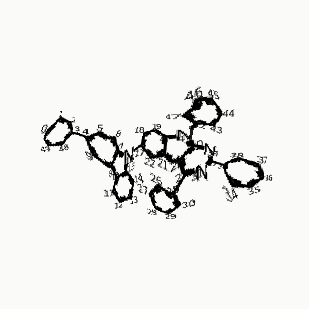 c1ccc(-c2ccc3c(c2)c2ccccc2n3-c2ccc3c(c2)c2c(-c4ccccc4)nc(-c4ccccc4)nc2n3-c2ccccc2)cc1